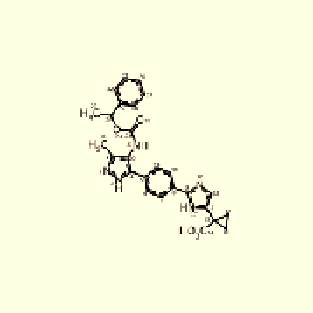 Cc1n[nH]c(-c2ccc(-c3ncc(C4(C(=O)O)CC4)[nH]3)cc2)c1NC(=O)OC(C)c1ccccc1